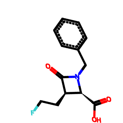 O=C(O)[C@@H]1[C@@H](CCF)C(=O)N1Cc1ccccc1